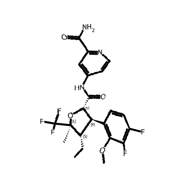 CC[C@H]1[C@H](c2ccc(F)c(F)c2OC)[C@@H](C(=O)Nc2ccnc(C(N)=O)c2)O[C@]1(C)C(F)(F)F